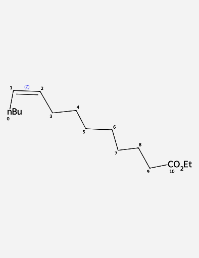 CCCC/C=C\CCCCCCCC(=O)OCC